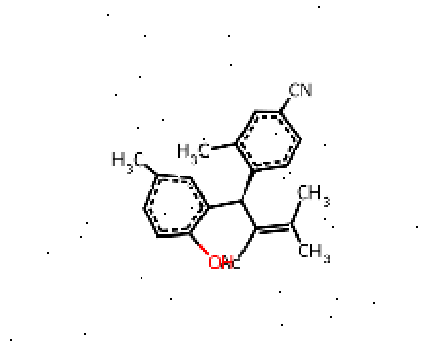 CC(=O)C(=C(C)C)[C@H](c1ccc(C#N)cc1C)c1cc(C)ccc1O